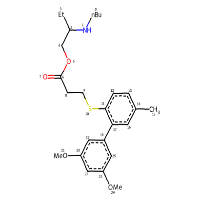 CCCCNC(CC)COC(=O)CCSc1ccc(C)cc1-c1cc(OC)cc(OC)c1